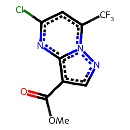 COC(=O)c1cnn2c(C(F)(F)F)cc(Cl)nc12